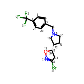 FC(F)(F)c1ccc(CN2CCC([C@@H]3CC(Br)=NO3)C2)cc1